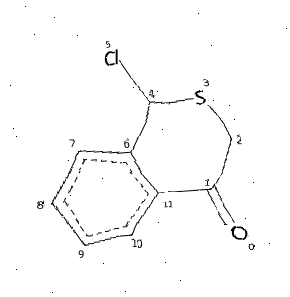 O=C1CSC(Cl)c2ccccc21